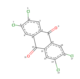 O=C1c2cc(Cl)c(Cl)cc2C(=O)c2cc(Cl)c(Cl)cc21